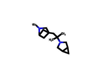 CC(C)(C)N1CC2(CC(C)(C)N3CC4CC4C3)CC1C2